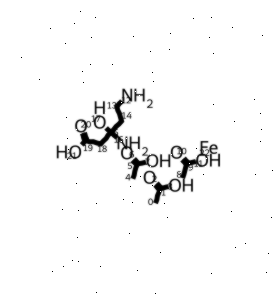 CC(=O)O.CC(=O)O.CC(=O)O.NCCC(N)(O)CC(=O)O.[Fe]